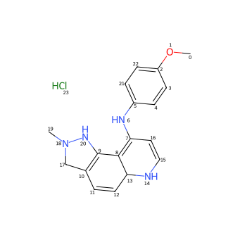 COc1ccc(NC2=C3C4=C(C=CC3NC=C2)CN(C)N4)cc1.Cl